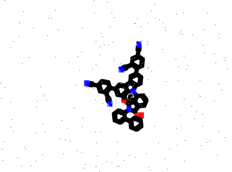 CC12C(=O)N(c3ccccc3-c3ccccc3)C(O)C1=CC=CC2n1c2ccc(-c3ccc(C#N)cc3C#N)cc2c2cc(-c3ccc(C#N)cc3C#N)ccc21